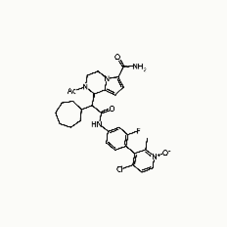 CC(=O)N1CCn2c(C(N)=O)ccc2C1[C@@H](C(=O)Nc1ccc(-c2c(Cl)cc[n+]([O-])c2C)c(F)c1)C1CCCCCC1